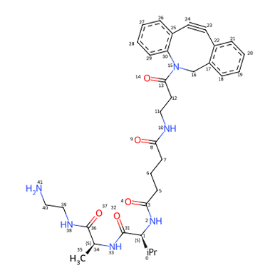 CC(C)[C@H](NC(=O)CCCC(=O)NCCC(=O)N1Cc2ccccc2C#Cc2ccccc21)C(=O)N[C@@H](C)C(=O)NCCN